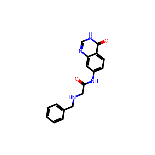 O=C(CNCc1ccccc1)Nc1ccc2c(=O)[nH]cnc2c1